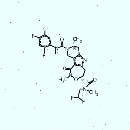 C[C@@H]1Cc2nn3c(c2CN1C(=O)Nc1cc(Cl)c(F)cc1F)C(=O)N(C)O[C@@H](C(=O)N(C)CC(F)F)C3